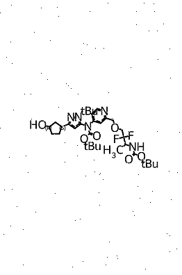 CC(NC(=O)OC(C)(C)C)C(F)(F)COCc1cc(N(C(=O)OC(C)(C)C)c2cc([C@H]3CC[C@@H](O)C3)nn2C(C)(C)C)ccn1